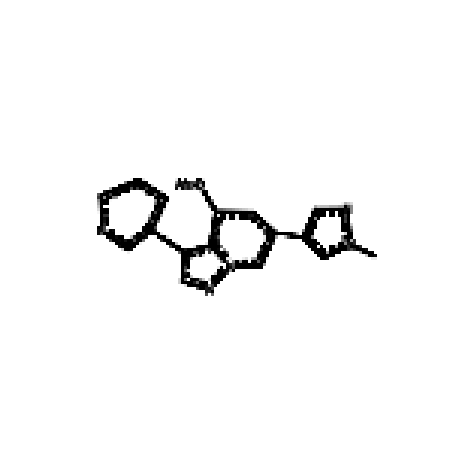 COc1cc(-c2cnn(C)c2)cn2ncc(-c3cccnc3)c12